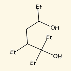 CCC(O)CC(CC)C(O)(CC)CC